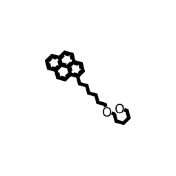 c1cc2ccc3ccc(CCCCCCOC4CCCCO4)c4ccc(c1)c2c34